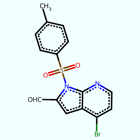 Cc1ccc(S(=O)(=O)n2c(C=O)cc3c(Br)ccnc32)cc1